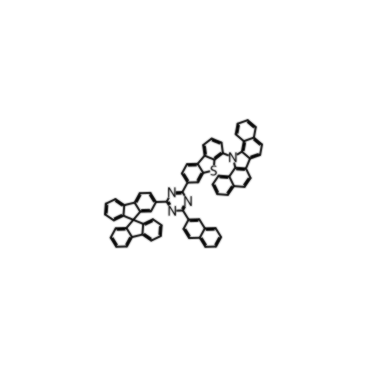 c1ccc2c(c1)-c1ccccc1C21c2ccccc2-c2ccc(-c3nc(-c4ccc5ccccc5c4)nc(-c4ccc5c(c4)sc4c(-n6c7c8ccccc8ccc7c7ccc8ccccc8c76)cccc45)n3)cc21